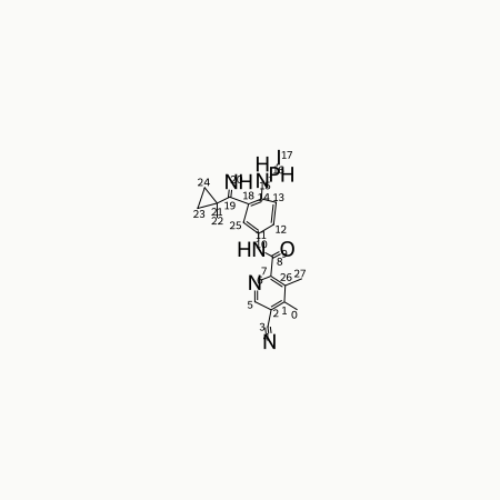 Cc1c(C#N)cnc(C(=O)Nc2ccc(NPI)c(C(=N)C3(C)CC3)c2)c1C